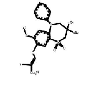 CCCCC1(CCCC)CN(c2ccccc2)c2cc(SCC)c(OC=C(F)C(=O)O)cc2S(=O)(=O)C1